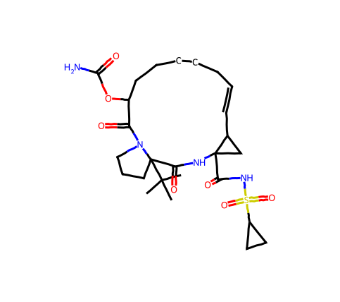 CC(C)(C)C12CCCN1C(=O)C(OC(N)=O)CCCCC/C=C/C1CC1(C(=O)NS(=O)(=O)C1CC1)NC2=O